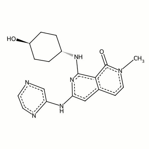 Cn1ccc2cc(Nc3cnccn3)nc(N[C@H]3CC[C@H](O)CC3)c2c1=O